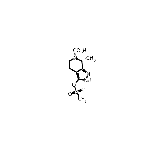 C[C@@H]1c2n[nH]c(OS(=O)(=O)C(F)(F)F)c2CCN1C(=O)O